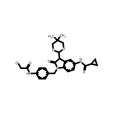 CC1(C)COC(C2C(=O)N(Cc3ccc(NC(=O)CCl)cc3)c3ccc(NC(=O)C4CC4)cc32)OC1